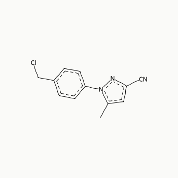 Cc1cc(C#N)nn1-c1ccc(CCl)cc1